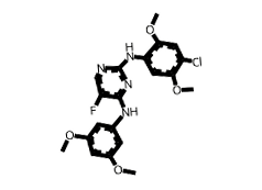 COc1cc(Nc2nc(Nc3cc(OC)c(Cl)cc3OC)ncc2F)cc(OC)c1